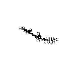 CC(=O)N[C@H](CSC1CC(=O)N(CCCCCC(=O)NCCO)C1=O)C(=O)O